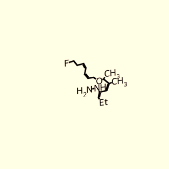 CC/C=C(\C=C(\C)C(C)OC/C=C\C=C/CCF)NN